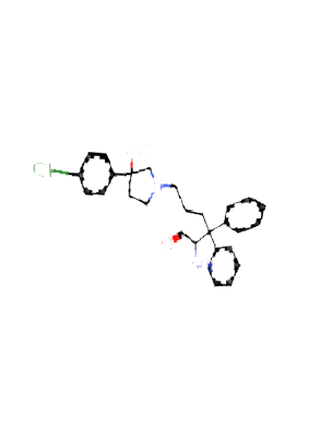 NC(C=O)C(CCCN1CCC(O)(c2ccc(Cl)cc2)C1)(c1ccccc1)c1ccccc1